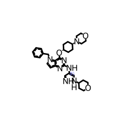 N=C/C(=C\NC1CCOCC1)Nc1nc(O[C@H]2CC[C@H](N3CCOCC3)CC2)c2c(ccn2Cc2ccccc2)n1